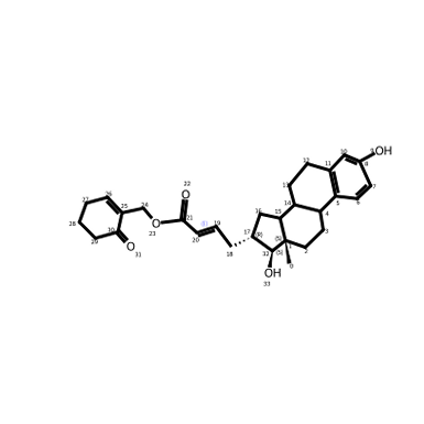 C[C@]12CCC3c4ccc(O)cc4CCC3C1C[C@@H](C/C=C/C(=O)OCC1=CCCCC1=O)[C@@H]2O